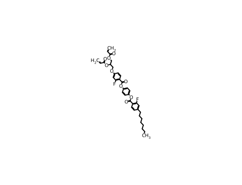 C=CC(=O)OCC(COc1ccc(C(=O)Oc2ccc(OC(=O)c3ccc(CCCCCCCC)cc3F)cc2)c(F)c1)OC(=O)C=C